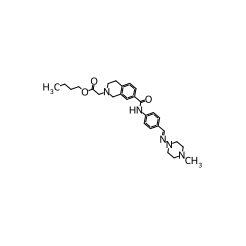 CCCCOC(=O)CN1CCc2ccc(C(=O)Nc3ccc(C=NN4CCN(C)CC4)cc3)cc2C1